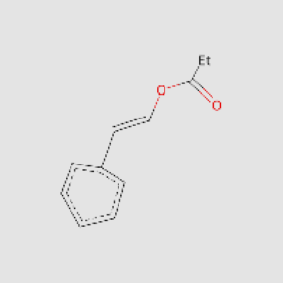 CCC(=O)O/C=C/c1ccccc1